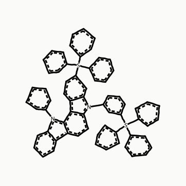 c1ccc(-n2c3ccccc3c3ccc4c(c5ccc(S(c6ccccc6)(c6ccccc6)c6ccccc6)cc5n4-c4cccc(S(c5ccccc5)(c5ccccc5)c5ccccc5)c4)c32)cc1